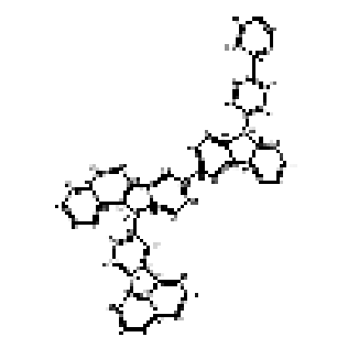 c1ccc(-c2ccc(-n3c4ccccc4c4cc(-c5ccc6c(c5)c5ccc7ccccc7c5n6-c5ccc6c(c5)-c5cccc7cccc-6c57)ccc43)cc2)cc1